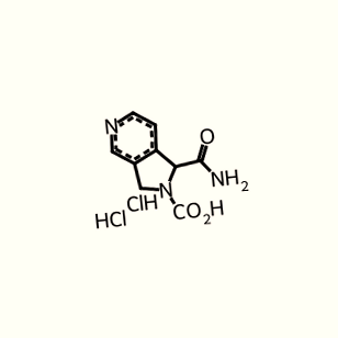 Cl.Cl.NC(=O)C1c2ccncc2CN1C(=O)O